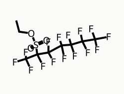 CCOS(=O)(=O)C(F)(C(F)(F)F)C(F)(F)C(F)(F)C(F)(F)C(F)(F)C(F)(F)F